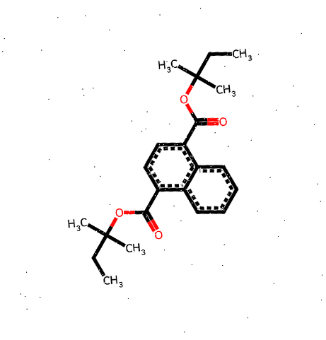 CCC(C)(C)OC(=O)c1ccc(C(=O)OC(C)(C)CC)c2ccccc12